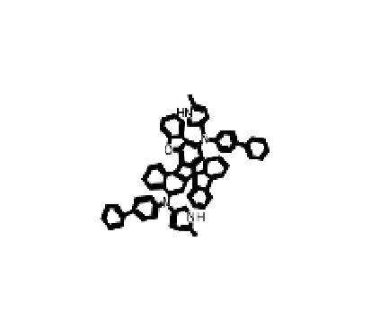 CC1=CC=C(N(c2ccc(-c3ccccc3)cc2)c2cc3c(c4ccccc24)-c2c(cc(N(C4=CC=C(C)NC4)c4ccc(-c5ccccc5)cc4)c4c2oc2ccccc24)C32c3ccccc3-c3ccccc32)CN1